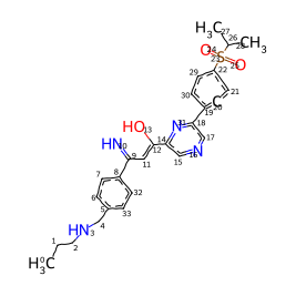 CCCNCc1ccc(C(=N)/C=C(\O)c2cncc(-c3ccc(S(=O)(=O)C(C)C)cc3)n2)cc1